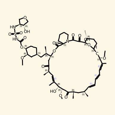 CO[C@H]1C[C@@H]2CC[C@@H](C)[C@@](O)(O2)C(=O)C(=O)N2CCCC[C@H]2C(=O)O[C@H]([C@H](C)C[C@@H]2CC[C@@H](OC(=O)NS(=O)(=O)N[C@H]3COC[C@@H]3O)[C@H](OC)C2)CC(=O)[C@H](C)/C=C(\C)[C@@H](O)[C@@H](OC)C(=O)[C@H](C)C[C@H](C)/C=C/C=C/C=C/1C